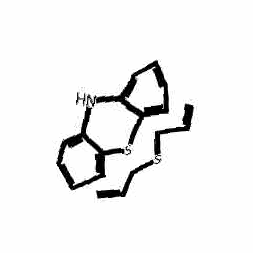 C=CCSCC=C.c1ccc2c(c1)Nc1ccccc1S2